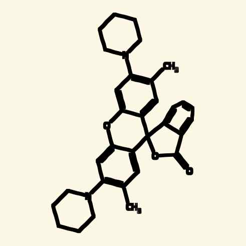 Cc1cc2c(cc1N1CCCCC1)Oc1cc(N3CCCCC3)c(C)cc1C21OC(=O)c2ccccc21